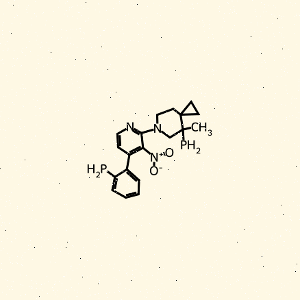 CC1(P)CN(c2nccc(-c3ccccc3P)c2[N+](=O)[O-])CCC12CC2